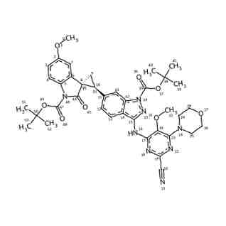 COc1ccc2c(c1)[C@]1(C[C@H]1c1ccc3c(Nc4nc(C#N)nc(N5CCOCC5)c4OC)nn(C(=O)OC(C)(C)C)c3c1)C(=O)N2C(=O)OC(C)(C)C